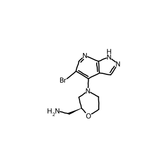 NC[C@H]1CN(c2c(Br)cnc3[nH]ncc23)CCO1